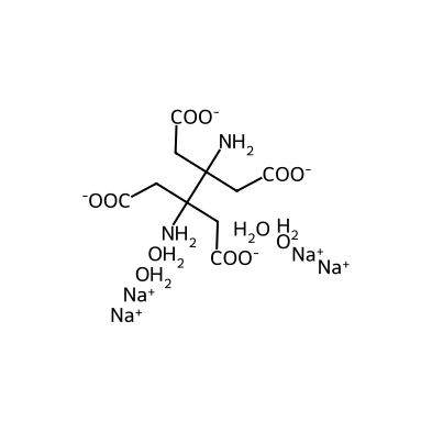 NC(CC(=O)[O-])(CC(=O)[O-])C(N)(CC(=O)[O-])CC(=O)[O-].O.O.O.O.[Na+].[Na+].[Na+].[Na+]